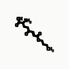 CCCCOC(=O)/C=C/C(=O)CCC(N)C(=O)O